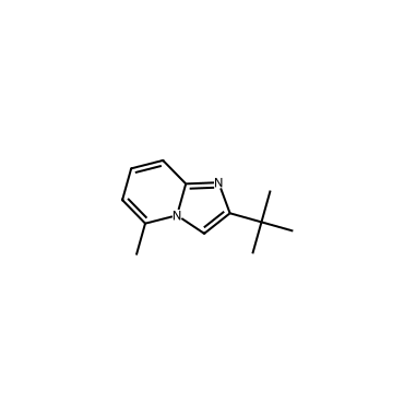 Cc1cccc2nc(C(C)(C)C)cn12